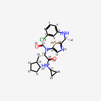 C[C@@H](Nc1cccc(Cl)c1)c1ncc(N(C=O)[C@@H](CC2CCCC2)C(=O)NC2CC2)s1